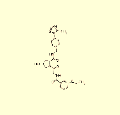 CCOc1cccc(C(=O)NCC(=O)N2C[C@H](O)C[C@H]2C(=O)NCc2ccc(-c3scnc3C)cc2)c1